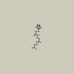 CC(C)CCCC(C)CCCC(C)CCc1ccco1